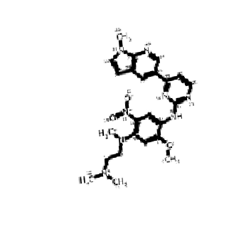 COc1cc(N(C)CCN(C)C)c([N+](=O)[O-])cc1Nc1nccc(-c2cnc3c(ccn3C)c2)n1